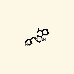 CC(C)c1ccccc1[C@@H]1CN(Cc2ccncc2)CCN1